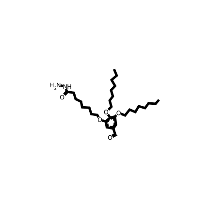 CCCCCCCCOc1cc([C]=O)cc(OCCCCCCCC(=O)NN)c1OCCCCCCCC